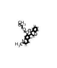 COCCOCOc1cc2nc(C)ccc2cc1C1COc2ccccc2C1=O